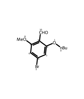 CCCCOc1cc(Br)cc(OC)c1C=O